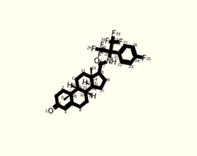 C[C@]12CCC(=O)C=C1CC[C@@H]1[C@H]2CC[C@]2(C)C(C(=O)NC(c3ccc(F)cc3)(C(F)(F)F)C(F)(F)F)CC[C@@H]12